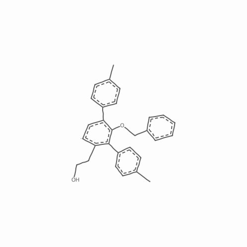 Cc1ccc(-c2c[c]c(CCO)c(-c3ccc(C)cc3)c2OCc2ccccc2)cc1